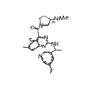 CN[C@@H]1CCN(C(=O)c2nc(NC(C)c3cncc(F)c3)nc3cc(C)sc23)C1